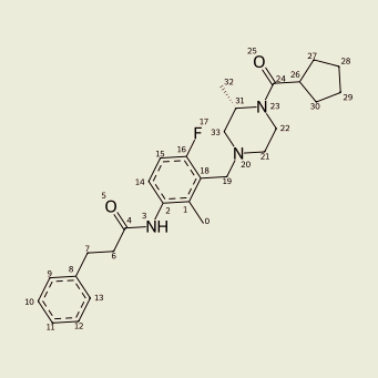 Cc1c(NC(=O)CCc2ccccc2)ccc(F)c1CN1CCN(C(=O)C2CCCC2)[C@@H](C)C1